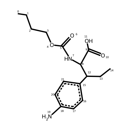 CCCCOC(=O)NC(C(=O)O)C(CC)c1ccc(N)cc1